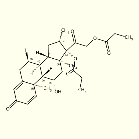 CCC(=O)OCC(=O)[C@]1(OC(=O)CC)[C@@H](C)C[C@H]2[C@@H]3[C@H](I)CC4=CC(=O)C=C[C@]4(C)[C@@]3(F)[C@@H](O)C[C@@]21C